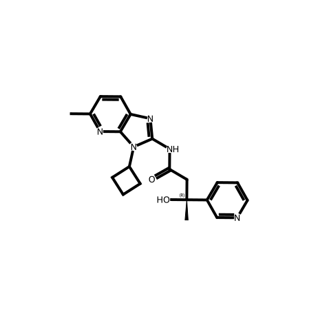 Cc1ccc2nc(NC(=O)C[C@@](C)(O)c3cccnc3)n(C3CCC3)c2n1